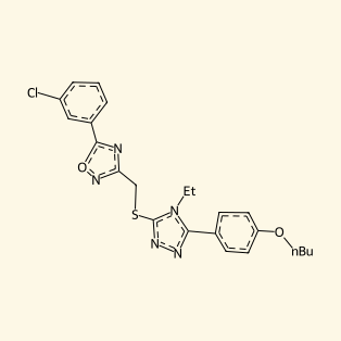 CCCCOc1ccc(-c2nnc(SCc3noc(-c4cccc(Cl)c4)n3)n2CC)cc1